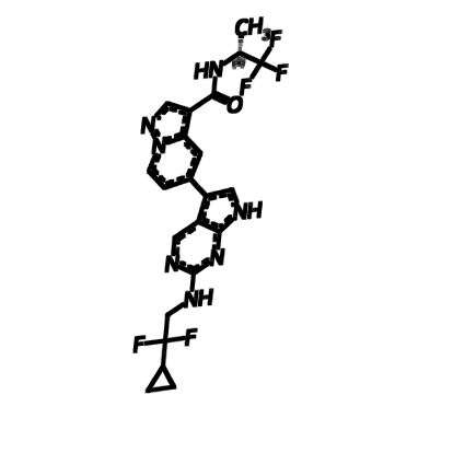 C[C@@H](NC(=O)c1cnn2ccc(-c3c[nH]c4nc(NCC(F)(F)C5CC5)ncc34)cc12)C(F)(F)F